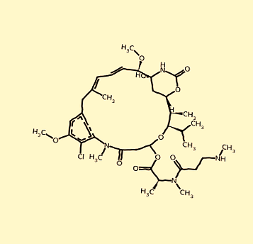 CNCCC(=O)N(C)[C@@H](C)C(=O)OC1CC(=O)N(C)c2cc(cc(OC)c2Cl)C/C(C)=C/C=C/[C@@H](OC)[C@@]2(O)C[C@H](OC(=O)N2)[C@@H](C)[C@@H](C(C)C)O1